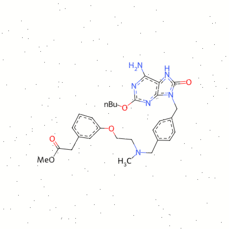 CCCCOc1nc(N)c2[nH]c(=O)n(Cc3ccc(CN(C)CCOc4cccc(CC(=O)OC)c4)cc3)c2n1